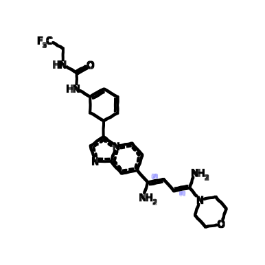 N/C(=C\C=C(/N)N1CCOCC1)c1ccn2c(C3C=CC=C(NC(=O)NCC(F)(F)F)C3)cnc2c1